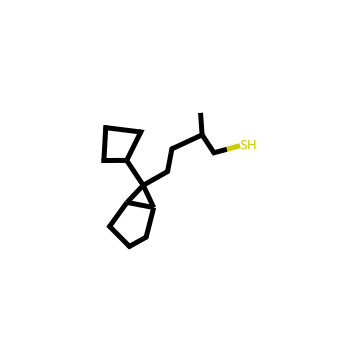 CC(CS)CCC1(C2CCC2)C2CCCC21